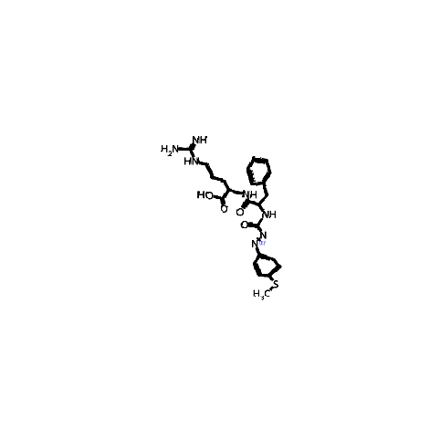 CSc1ccc(/N=N/C(=O)NC(Cc2ccccc2)C(=O)NC(CCCNC(=N)N)C(=O)O)cc1